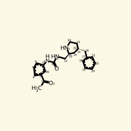 CC(=O)c1cccc(NC(=O)NC[C@@H]2C[C@@H](Cc3ccccc3)CCN2)c1